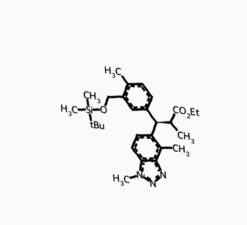 CCOC(=O)C(C)[C@H](c1ccc(C)c(CO[Si](C)(C)C(C)(C)C)c1)c1ccc2c(nnn2C)c1C